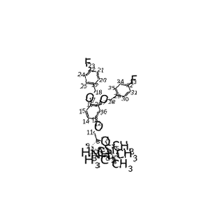 CC(C)(C)[Si](C)(C)O[C@H](CN)COc1ccc(OCc2ccc(F)cc2)c(OCc2ccc(F)cc2)c1